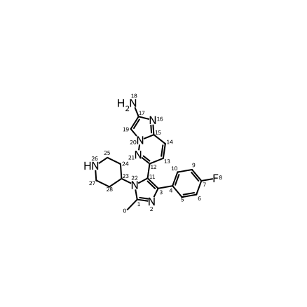 Cc1nc(-c2ccc(F)cc2)c(-c2ccc3nc(N)cn3n2)n1C1CCNCC1